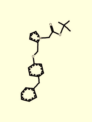 CC(C)(C)OC(=O)Cn1cccc1COc1ccc(Cc2ccccc2)cc1